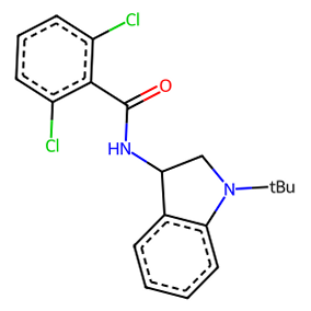 CC(C)(C)N1CC(NC(=O)c2c(Cl)cccc2Cl)c2ccccc21